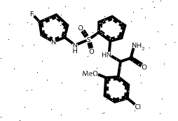 COc1ccc(Cl)cc1C(Nc1ccccc1S(=O)(=O)Nc1ccc(F)cn1)C(N)=O